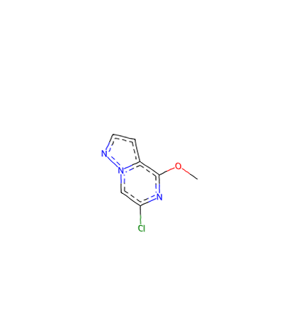 COc1nc(Cl)cn2nccc12